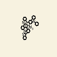 CC1(C)c2c(-c3nc(-c4ccc5c(c4)c4ccccc4n5-c4ccccc4)c4ccccc4n3)cccc2-n2c3sc4ccccc4c3c3cccc1c32